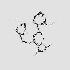 CCOc1ncccc1-c1cc(/N=C\c2cn(C)cn2)c2c(C(C)C)nc(C)n2n1